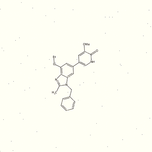 CCOc1cc(-c2c[nH]c(=O)c(OC)c2)cc2c1nc(C)n2Cc1ccccc1